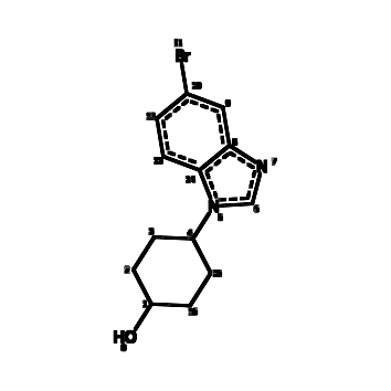 OC1CCC(n2cnc3cc(Br)ccc32)CC1